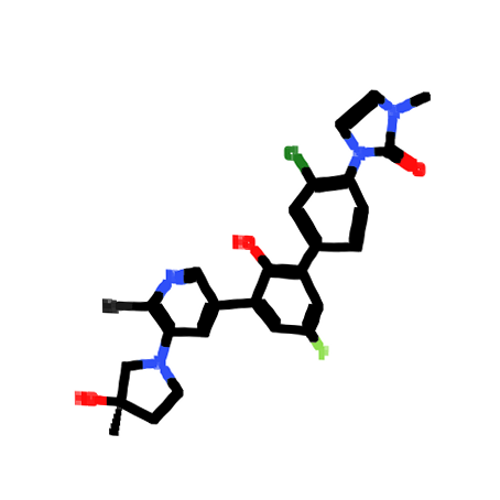 CCc1ncc(-c2cc(F)cc(-c3ccc(-n4ccn(C)c4=O)c(Cl)c3)c2O)cc1N1CC[C@@](C)(O)C1